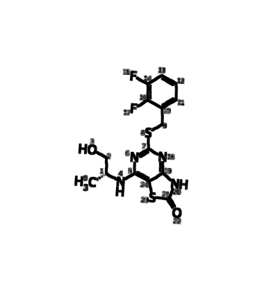 C[C@H](CO)Nc1nc(SCc2cccc(F)c2F)nc2[nH]c(=O)sc12